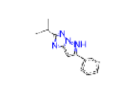 CC(C)c1nc2cc(-c3ccccc3)[nH]n2n1